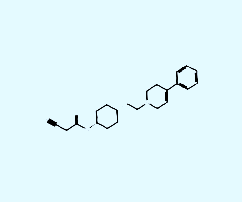 N#CCC(=O)N[C@H]1CC[C@H](CCN2CC=C(c3ccccc3)CC2)CC1